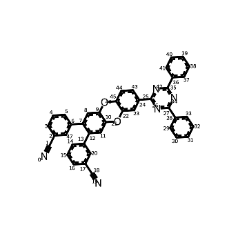 N#Cc1cccc(-c2cc3c(cc2-c2cccc(C#N)c2)Oc2cc(-c4nc(-c5ccccc5)nc(-c5ccccc5)n4)ccc2O3)c1